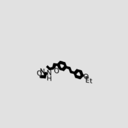 CCOc1ccc(CCc2ccc3cc(C(C)Nc4ccon4)oc3c2)cc1